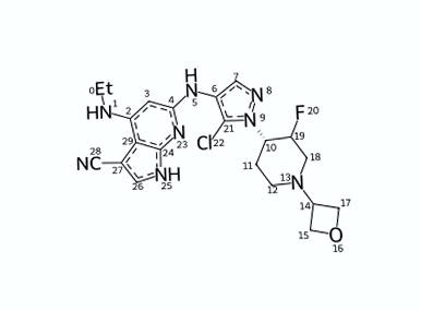 CCNc1cc(Nc2cnn([C@H]3CCN(C4COC4)CC3F)c2Cl)nc2[nH]cc(C#N)c12